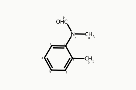 Cc1c[c]ccc1N(C)C=O